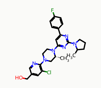 CC1CCCN1c1nc(-c2ccc(F)cc2)cc(N2CCN(c3ncc(CO)cc3Cl)C[C@H]2C)n1